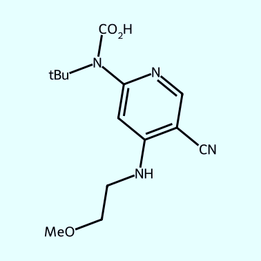 COCCNc1cc(N(C(=O)O)C(C)(C)C)ncc1C#N